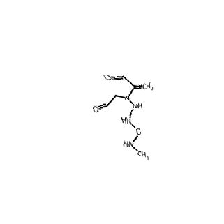 C=C(C=O)N(CC=O)NNONC